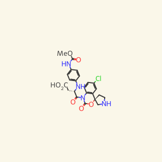 COC(=O)Nc1ccc(N[C@@H](CC(=O)O)C(=O)N2C(=O)O[C@]3(CCNC3)c3cc(Cl)ccc32)cc1